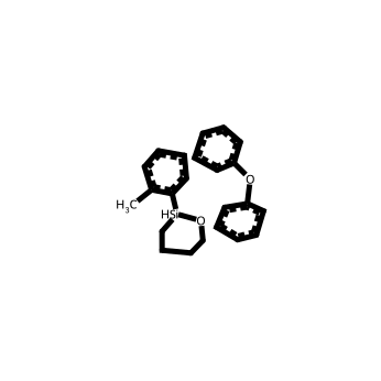 Cc1ccccc1[SiH]1CCCCO1.c1ccc(Oc2ccccc2)cc1